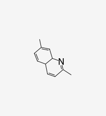 CC1=CC2N=C(C)C=CC2C=C1